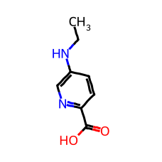 CCNc1ccc(C(=O)O)nc1